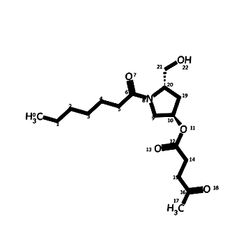 CCCCCCC(=O)N1C[C@H](OC(=O)CCC(C)=O)C[C@H]1CO